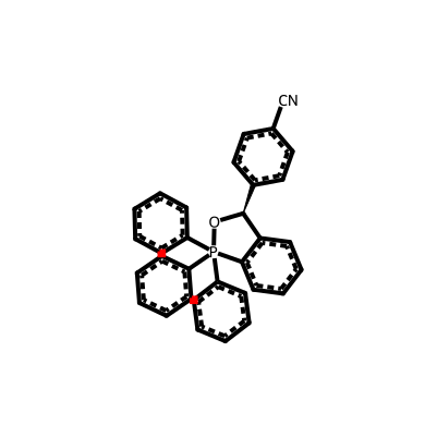 N#Cc1ccc([C@@H]2OP(c3ccccc3)(c3ccccc3)(c3ccccc3)c3ccccc32)cc1